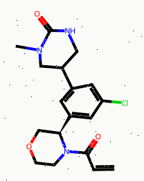 C=CC(=O)N1CCOC[C@H]1c1cc(Cl)cc(C2CNC(=O)N(C)C2)c1